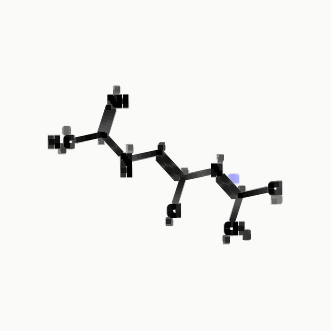 CC(=N)NC=C(Cl)/N=C(\C)Cl